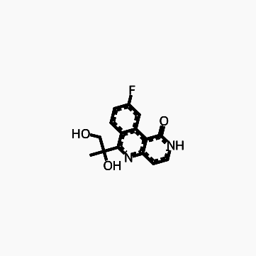 CC(O)(CO)c1nc2cc[nH]c(=O)c2c2cc(F)ccc12